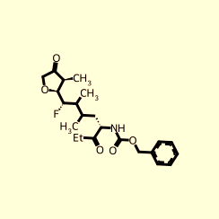 CCC(=O)[C@H](CC(C)C(C)[C@H](F)[C@H]1OCC(=O)[C@H]1C)NC(=O)OCc1ccccc1